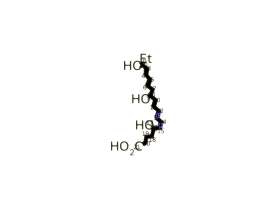 CC[C@@H](O)C=CC=CC[C@@H](O)C=C/C=C/C=C\[C@@H](O)CCCC(=O)O